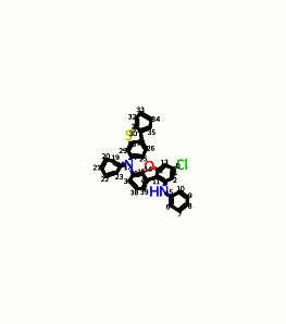 Clc1cc(Nc2ccccc2)c2c(c1)oc1c(N(c3ccccc3)c3ccc4c(c3)sc3ccccc34)cccc12